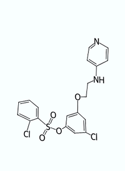 O=S(=O)(Oc1cc(Cl)cc(OCCNc2ccncc2)c1)c1ccccc1Cl